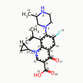 C=C(C)c1c(N2CCNC(C)C2)c(F)cc2c(=O)c(C(=O)O)cn(C3CC3)c12